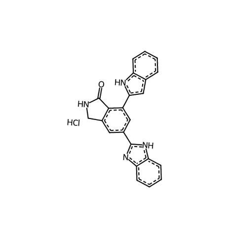 Cl.O=C1NCc2cc(-c3nc4ccccc4[nH]3)cc(-c3cc4ccccc4[nH]3)c21